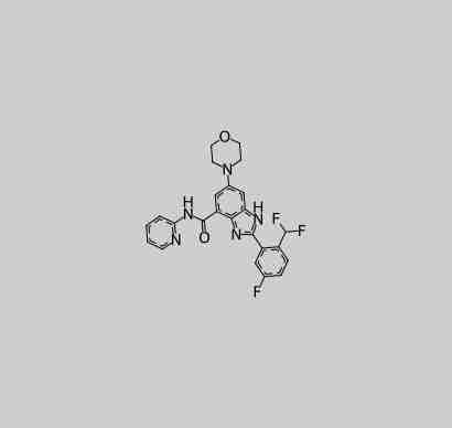 O=C(Nc1ccccn1)c1cc(N2CCOCC2)cc2[nH]c(-c3cc(F)ccc3C(F)F)nc12